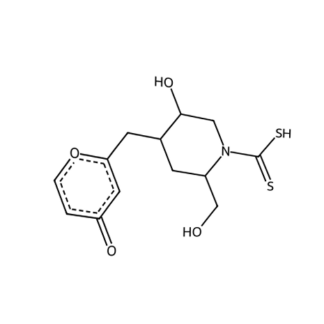 O=c1ccoc(CC2CC(CO)N(C(=S)S)CC2O)c1